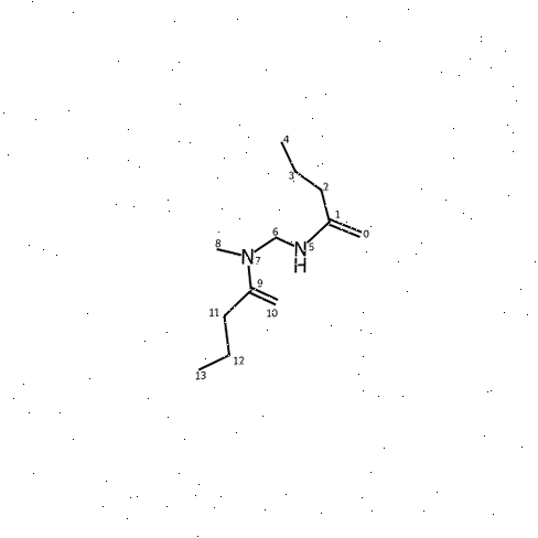 C=C(CCC)NCN(C)C(=C)CCC